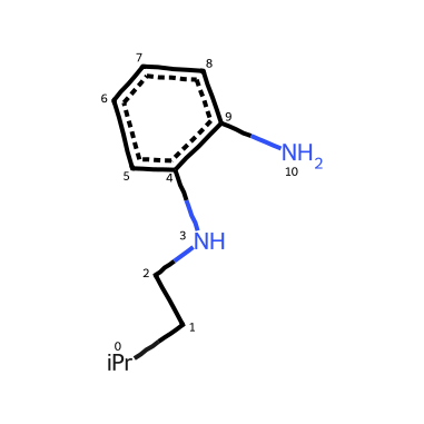 CC(C)CCNc1ccccc1N